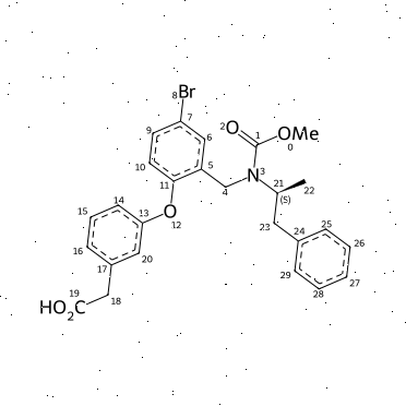 COC(=O)N(Cc1cc(Br)ccc1Oc1cccc(CC(=O)O)c1)[C@@H](C)Cc1ccccc1